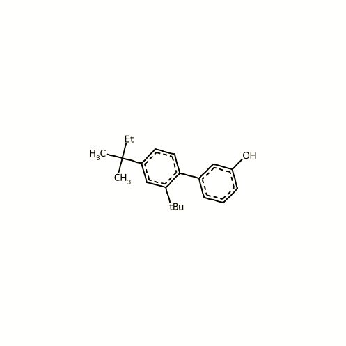 CCC(C)(C)c1ccc(-c2cccc(O)c2)c(C(C)(C)C)c1